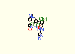 Cc1nc2ccc(-c3ccc(=O)[nH]c3)cc2n1Cc1cc(Cl)c(Cl)c(-c2cc(Cc3nc(-c4ccc(N(C)C)nc4)no3)cc(Cl)c2Cl)c1